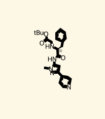 Cn1nc(-c2ccncc2)cc1NC(=O)[C@H](Cc1ccccc1)NCC(=O)OC(C)(C)C